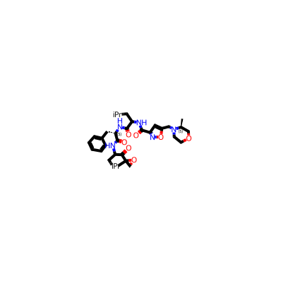 CC(C)CC(NC(=O)c1cc(CN2CCOC[C@@H]2C)on1)C(=O)N[C@@H](Cc1ccccc1)C(=O)NC(CC(C)C)C(=O)C1(C)CO1